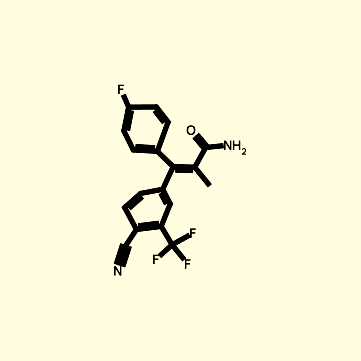 CC(C(N)=O)=C(c1ccc(F)cc1)c1ccc(C#N)c(C(F)(F)F)c1